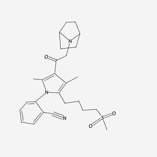 Cc1c(C(=O)CN2C3CCC2CC3)c(C)n(-c2ccccc2C#N)c1CCCCS(C)(=O)=O